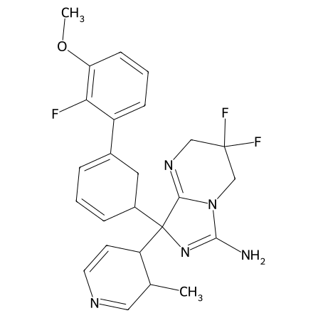 COc1cccc(C2=CC=CC(C3(C4C=CN=CC4C)N=C(N)N4CC(F)(F)CN=C43)C2)c1F